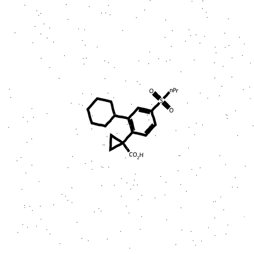 CCCS(=O)(=O)c1ccc(C2(C(=O)O)CC2)c(C2CCCCC2)c1